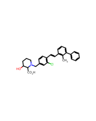 Cc1c(/C=C/c2ccc(CN3CCCC(O)C3C(=O)O)cc2Cl)cccc1-c1ccccc1